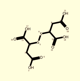 O=C(O)CC(SSC(CC(=O)O)C(=O)O)C(=O)O